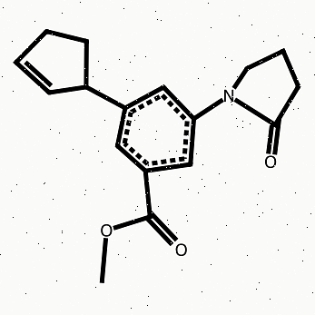 COC(=O)c1cc(C2C=CCC2)cc(N2CCCC2=O)c1